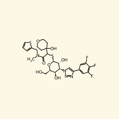 CN(Cc1cccs1)C(=O)C(S[C@@H]1O[C@H](CO)[C@H](O)[C@H](n2cc(-c3cc(F)c(F)c(F)c3)nn2)[C@H]1O)C1(O)CCOCC1